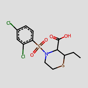 CCC1SCCN(S(=O)(=O)c2ccc(Cl)cc2Cl)C1C(=O)O